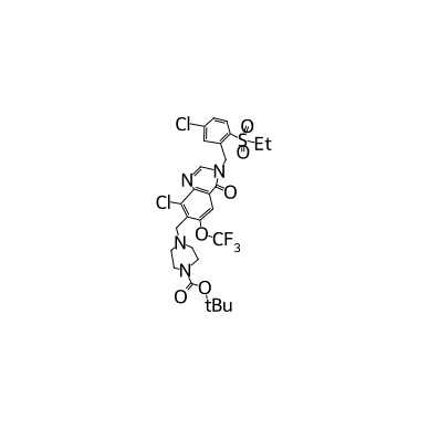 CCS(=O)(=O)c1ccc(Cl)cc1Cn1cnc2c(Cl)c(CN3CCN(C(=O)OC(C)(C)C)CC3)c(OC(F)(F)F)cc2c1=O